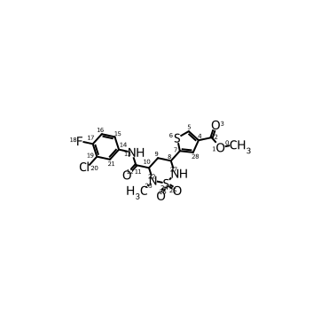 COC(=O)c1csc(C2CC(C(=O)Nc3ccc(F)c(Cl)c3)N(C)S(=O)(=O)N2)c1